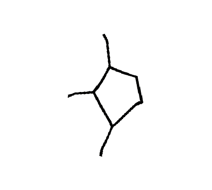 CC1CCC(C)C1C